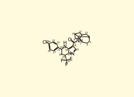 O=C(NC1C2CCCC3CC1CC3C2)c1cnn2c1NC(c1ccc(Cl)cc1)CC2C(F)(F)F